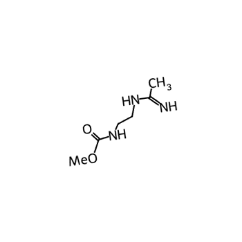 COC(=O)NCCNC(C)=N